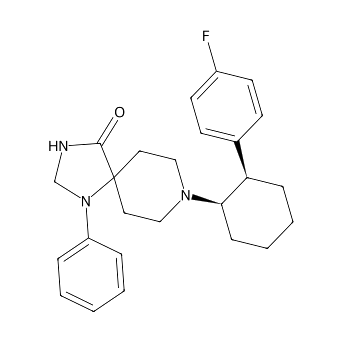 O=C1NCN(c2ccccc2)C12CCN([C@@H]1CCCC[C@@H]1c1ccc(F)cc1)CC2